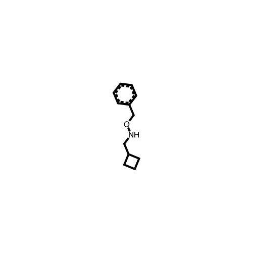 c1ccc(CONCC2CCC2)cc1